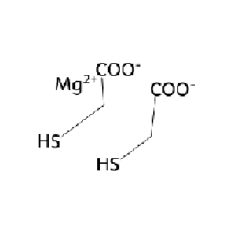 O=C([O-])CS.O=C([O-])CS.[Mg+2]